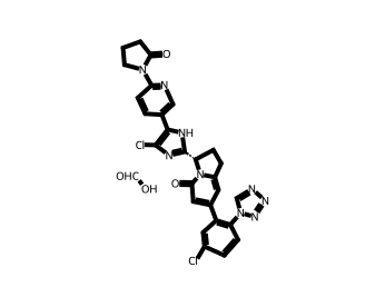 O=C1CCCN1c1ccc(-c2[nH]c([C@@H]3CCc4cc(-c5cc(Cl)ccc5-n5cnnn5)cc(=O)n43)nc2Cl)cn1.O=CO